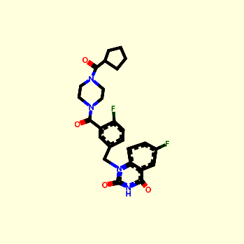 O=C(c1cc(Cn2c(=O)[nH]c(=O)c3cc(F)ccc32)ccc1F)N1CCN(C(=O)C2CCCC2)CC1